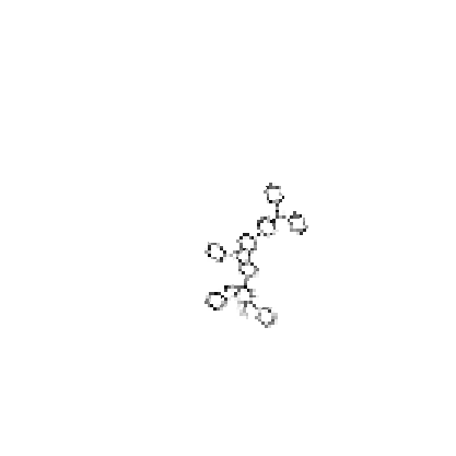 c1ccc(C2N=C(c3ccc4c5cc(-c6ccc(N(c7ccccc7)c7ccccc7)cc6)ccc5n(-c5ccccc5)c4c3)NC(c3ccccc3)N2)cc1